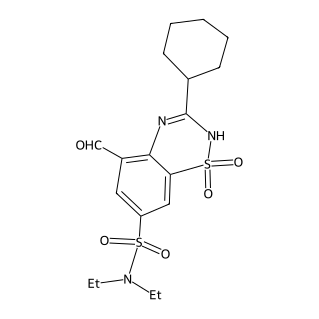 CCN(CC)S(=O)(=O)c1cc(C=O)c2c(c1)S(=O)(=O)NC(C1CCCCC1)=N2